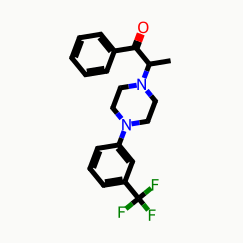 CC(C(=O)c1ccccc1)N1CCN(c2cccc(C(F)(F)F)c2)CC1